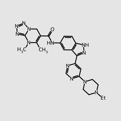 CCN1CCN(c2cc(-c3n[nH]c4ccc(NC(=O)C5=C(C)N(C)c6nnnn6C5)cc34)ncn2)CC1